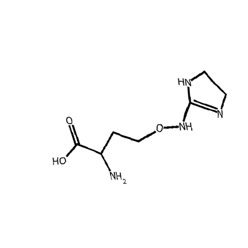 NC(CCONC1=NCCN1)C(=O)O